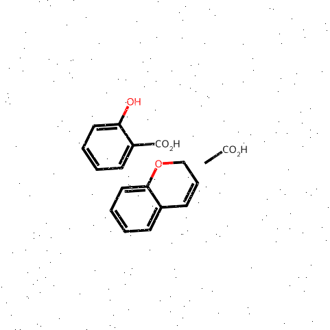 C1=Cc2ccccc2OC1.CC(=O)O.O=C(O)c1ccccc1O